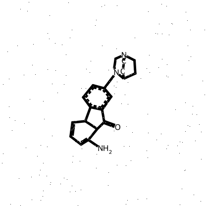 NC1=CC=CC2c3ccc(N4CCN5CCC4CC5)cc3C(=O)C12